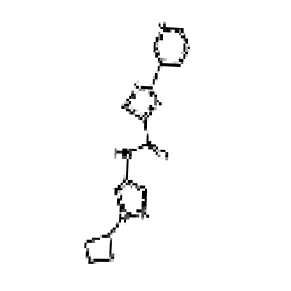 O=C(Nc1cnn(C2CCC2)c1)c1csc(-c2cccnc2)n1